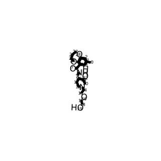 Cc1cc2c(c(C(=O)NC[C@H]3CCN(CCOCCO)C[C@H]3O)c1)OCCCO2